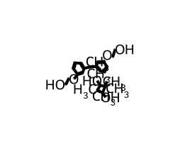 CC(C)(c1cccc(OCCO)c1)c1cccc(OCCO)c1.CC1(C)C(O)C(C)(C)C1O